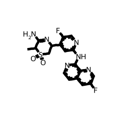 CC1C(N)=NC(c2cc(Nc3nccc4cc(F)cnc34)ncc2F)CS1(=O)=O